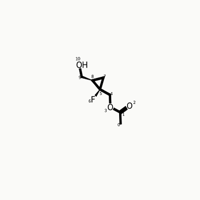 CC(=O)OC[C@@]1(F)C[C@@H]1CO